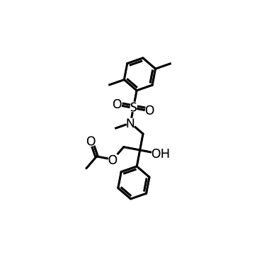 CC(=O)OCC(O)(CN(C)S(=O)(=O)c1cc(C)ccc1C)c1ccccc1